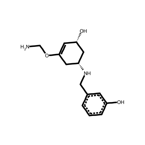 NCOC1=C[C@H](O)C[C@H](NCc2cccc(O)c2)C1